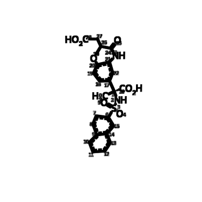 C[C@@](NS(=O)(=O)c1ccc2ccccc2c1)(C(=O)O)c1ccc2c(c1)NC(=O)C(CC(=O)O)O2